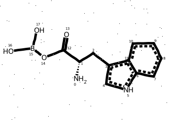 N[C@@H](Cc1c[nH]c2ccccc12)C(=O)OB(O)O